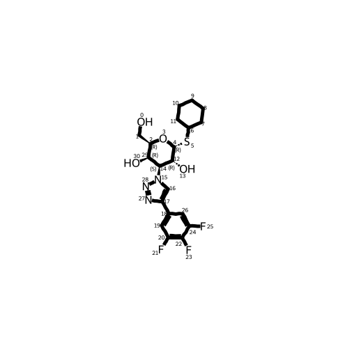 OC[C@H]1O[C@H](SC2CCCCC2)[C@H](O)[C@@H](n2cc(-c3cc(F)c(F)c(F)c3)nn2)[C@H]1O